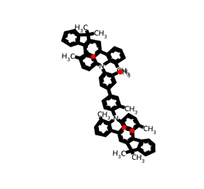 Cc1ccc(N(c2ccc(-c3ccc(N(c4ccc(C)cc4)c4c(C)cccc4-c4ccc5c(c4)C(C)(C)c4ccccc4-5)c(C)c3)cc2C)c2c(C)cccc2-c2ccc3c(c2)C(C)(C)c2ccccc2-3)cc1